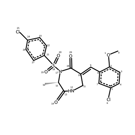 COc1ccc(Cl)cc1C=C1CNC(=O)[C@H](C)N(S(=O)(=O)c2ccc(Cl)cc2)C1=O